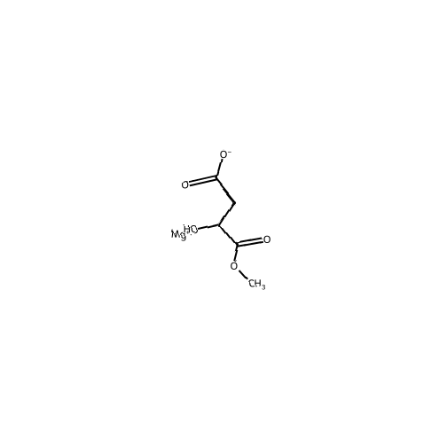 COC(=O)C(O)CC(=O)[O-].[Mg+]